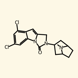 CN1C2CCC1CC(N1Cc3cc4c(Cl)cc(Cl)cc4n3C1=O)C2